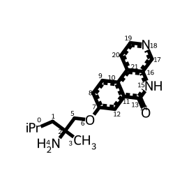 CC(C)CC(C)(N)COc1ccc2c(c1)c(=O)[nH]c1cnccc12